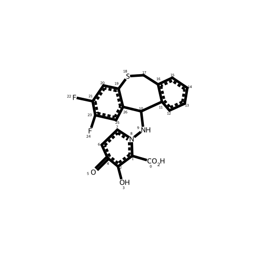 O=C(O)c1c(O)c(=O)ccn1NC1c2ccccc2CSc2cc(F)c(F)cc21